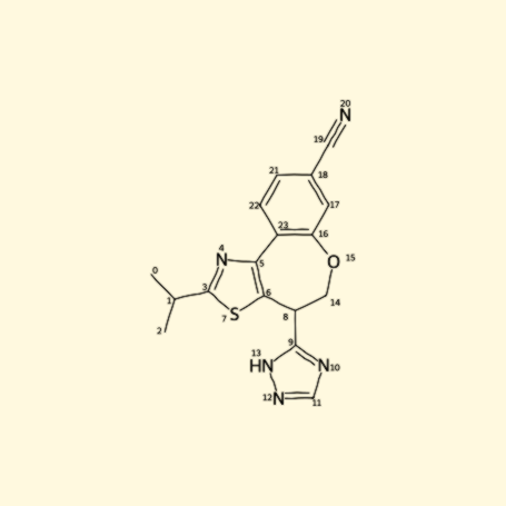 CC(C)c1nc2c(s1)C(c1ncn[nH]1)COc1cc(C#N)ccc1-2